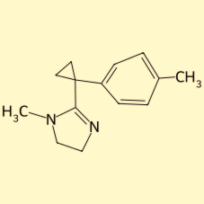 Cc1ccc(C2(C3=NCCN3C)CC2)cc1